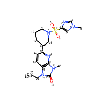 Cn1cnc(S(=O)(=O)N2CCCC(c3ccc4c(n3)n(C)c(=O)n4CC(C)(C)C)C2)c1